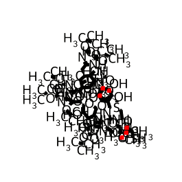 CC(C)(C)OC(=O)N=C(NC(=O)OC(C)(C)C)NC1C[C@@H](C/C(=N/C(=O)OC(C)(C)C)NC(=O)OC(C)(C)C)C(O)[C@@H](O[C@@H]2O[C@H](CSCCOCCS)C(OC3O[C@@H](CC/C(=N/C(=O)OC(C)(C)C)NC(=O)OC(C)(C)C)C(O)[C@@H](O)[C@H]3N/C(=N\C(=O)OC(C)(C)C)NC(=O)OC(C)(C)C)[C@@H]2O)[C@@H]1O[C@H]1CC(CN/C(=N\C(=O)OC(C)(C)C)NC(=O)OC(C)(C)C)[C@@H](O)[C@H](O)C1NC(N)=O